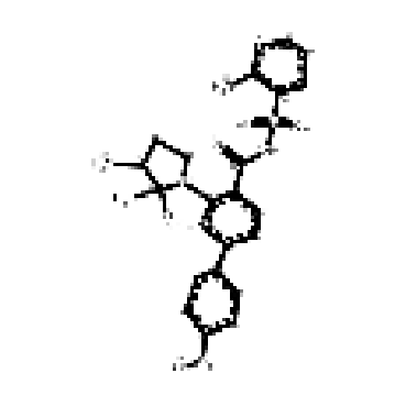 CC(C)Oc1ccc(-c2ccc(C(=O)NS(=O)(=O)c3cccnc3N)c(N3CCC(C)C3(C)C)n2)cc1